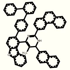 CC1=C(c2c(-c3ccc(-c4ccccc4-c4ccccc4)cc3)ccc3oc4ccccc4c23)N=C(c2ccc3ccc4ccccc4c3c2)NC1c1ccc2ccccc2c1